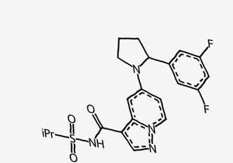 CC(C)S(=O)(=O)NC(=O)c1cnn2ccc(N3CCCC3c3cc(F)cc(F)c3)cc12